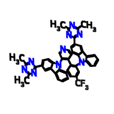 Cc1nc(C)nc(-c2ccc3c(c2)c2ccccc2n3-c2cnccc2-c2ccc(C(F)(F)F)cc2-n2c3ccccc3c3cc(-c4nc(C)nc(C)n4)ccc32)n1